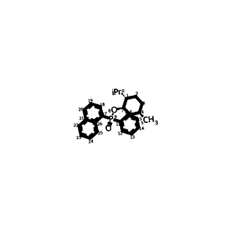 CC(C)[C@@H]1CC[C@@H](C)C[C@H]1O[P@@](=O)(c1ccccc1)c1cccc2ccccc12